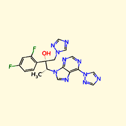 C[C@@H](n1cnc2c(-n3cncn3)ncnc21)[C@](O)(Cn1cncn1)c1ccc(F)cc1F